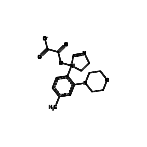 Cc1ccc([N+]2(OC(=O)C(=O)[O-])C=NCC2)c(N2CCOCC2)c1